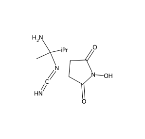 CC(C)C(C)(N)N=C=N.O=C1CCC(=O)N1O